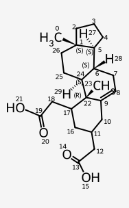 C[C@@]12CCC[C@H]1[C@@H]1CC=C3CC(CC(=O)O)CC(CC(=O)O)[C@]3(C)[C@H]1CC2